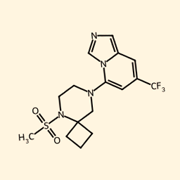 CS(=O)(=O)N1CCN(c2cc(C(F)(F)F)cc3cncn23)CC12CCC2